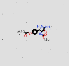 COC(=O)COc1ccc(C[C@H](NC(=O)OC(C)(C)C)C(=O)C(N)N)cc1